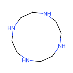 [CH]1[CH]NCCNCCNCCN1